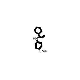 C=C[C@@H](Nc1ccc(OC)cc1)C1CCCCC1